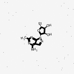 CC[C@H]1O[C@@H](n2ncc3c(N)nc(C)nc32)[C@H](O)[C@@H]1O